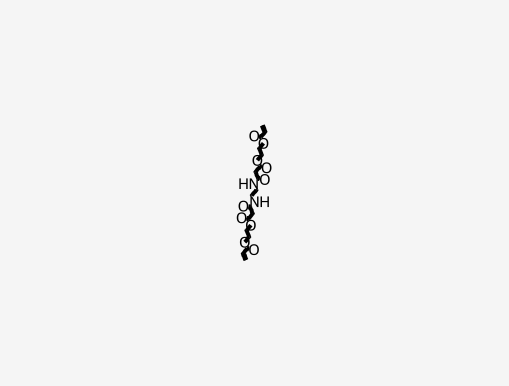 C=CC(=O)OCCOC(=O)CC(=O)NCCNC(=O)CC(=O)OCCOC(=O)C=C